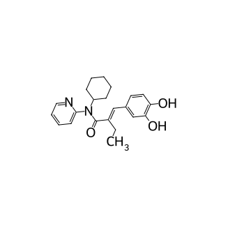 CC/C(=C\c1ccc(O)c(O)c1)C(=O)N(c1ccccn1)C1CCCCC1